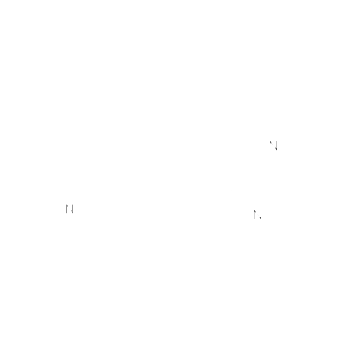 c1cnc2c(c1)cc(-c1ccncc1)c1cccnc12